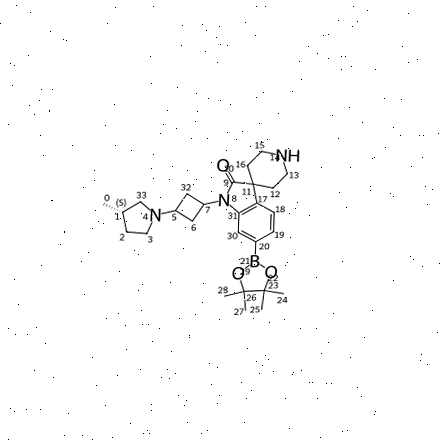 C[C@H]1CCN(C2CC(N3C(=O)C4(CCNCC4)c4ccc(B5OC(C)(C)C(C)(C)O5)cc43)C2)C1